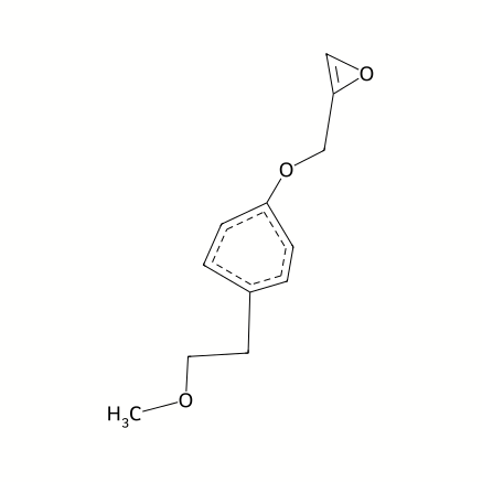 COCCc1ccc(OCC2=CO2)cc1